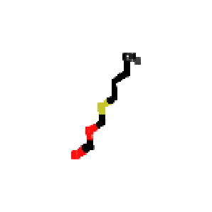 CCCCSCO[C]=O